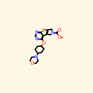 COC(=O)N1Cc2sc3ncnc(OC4CCC(N5CCOCC5)CC4)c3c2C1